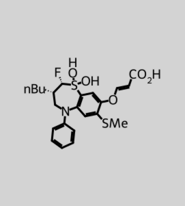 CCCC[C@H]1CN(c2ccccc2)c2cc(SC)c(O/C=C/C(=O)O)cc2S(O)(O)[C@H]1F